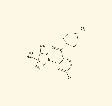 CC1(C)OB(c2cc(C#N)ccc2C(=O)N2CCC(C(F)(F)F)CC2)OC1(C)C